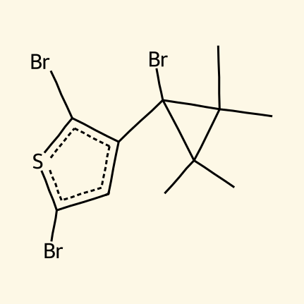 CC1(C)C(C)(C)C1(Br)c1cc(Br)sc1Br